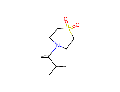 C=C(C(C)C)N1CCS(=O)(=O)CC1